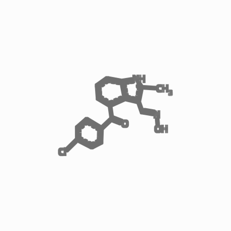 Cc1[nH]c2cccc(C(=O)c3ccc(Cl)cc3)c2c1C=NO